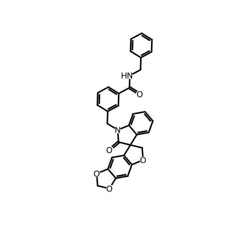 O=C(NCc1ccccc1)c1cccc(CN2C(=O)C3(COc4cc5c(cc43)OCO5)c3ccccc32)c1